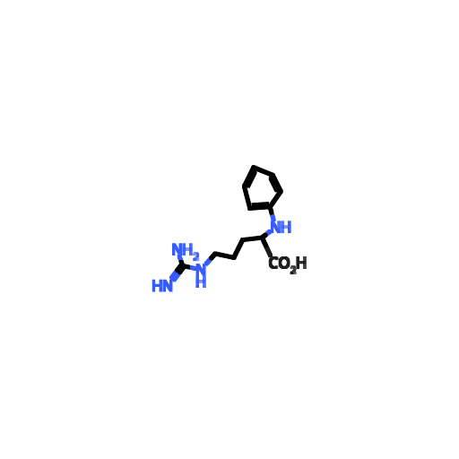 N=C(N)NCCCC(Nc1ccccc1)C(=O)O